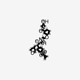 O=C(Nc1ncc(Oc2cccc(C(=O)N3CC(O)C3)c2)s1)[C@H](CC1CCOCC1)c1ccc(S(=O)(=O)C2CC2)cc1